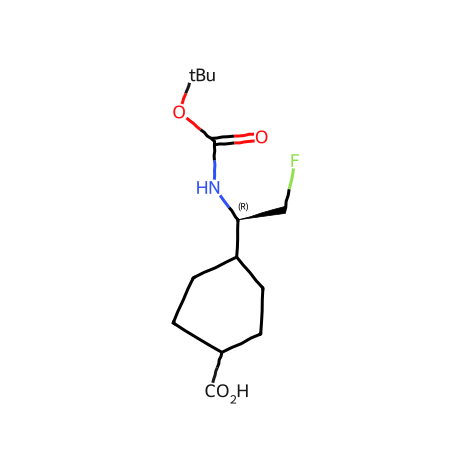 CC(C)(C)OC(=O)N[C@@H](CF)C1CCC(C(=O)O)CC1